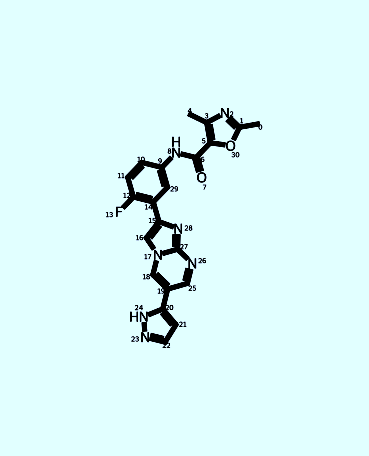 Cc1nc(C)c(C(=O)Nc2ccc(F)c(-c3cn4cc(-c5ccn[nH]5)cnc4n3)c2)o1